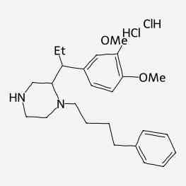 CCC(c1ccc(OC)c(OC)c1)C1CNCCN1CCCCc1ccccc1.Cl.Cl